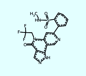 CNS(=O)(=O)c1ccccc1-c1cc2c(cn1)c1[nH]ncc1c(=O)n2CC(F)(F)F